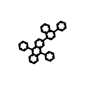 c1ccc(-c2ccc(-c3ccc4c(-c5ccccc5)c5ccccc5c(-c5ccccc5)c4c3)c3ccccc23)cc1